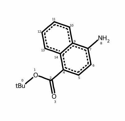 CC(C)(C)OC(=O)c1ccc(N)c2ccccc12